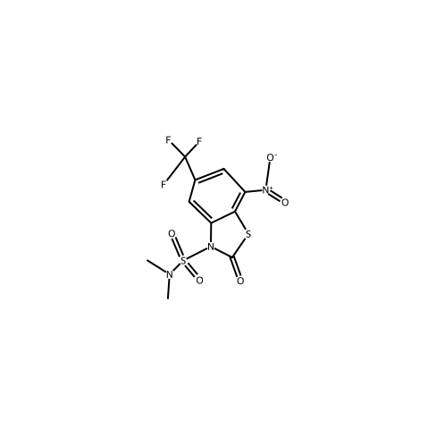 CN(C)S(=O)(=O)n1c(=O)sc2c([N+](=O)[O-])cc(C(F)(F)F)cc21